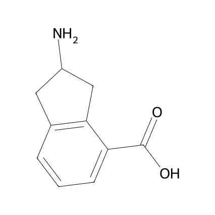 NC1Cc2cccc(C(=O)O)c2C1